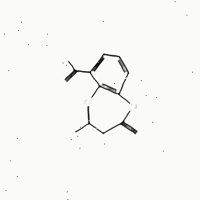 CC1CC(=O)Nc2cccc(C(=O)O)c2N1